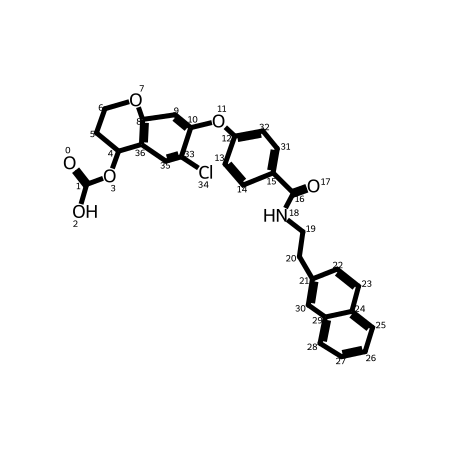 O=C(O)OC1CCOc2cc(Oc3ccc(C(=O)NCCc4ccc5ccccc5c4)cc3)c(Cl)cc21